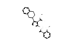 COc1ccccc1C(=O)Nc1scc(C2CCc3ccccc3C2)c1C(=O)OI